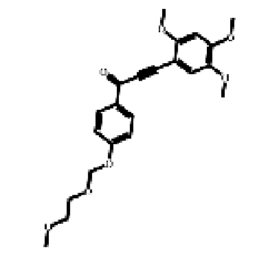 COCCOCOc1ccc(C(=O)C#Cc2cc(OC)c(OC)cc2OC)cc1